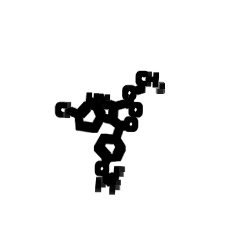 CCOC(=O)c1[nH]c2cc(Cl)ccc2c1C(=O)c1ccc(OC(F)(F)F)cc1